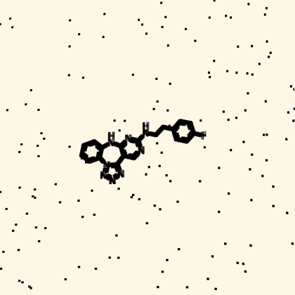 Fc1ccc(CCNc2ncc3c(n2)Nc2ccccc2-n2nnnc2-3)cc1